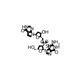 Nc1nc2c(ncn2[C@@H]2O[C@H](CO)C[C@H]2P(=O)(S)OC[C@H]2O[C@@H](n3ccc4c(=O)[nH]cnc43)C[C@@H]2O)c(=O)[nH]1